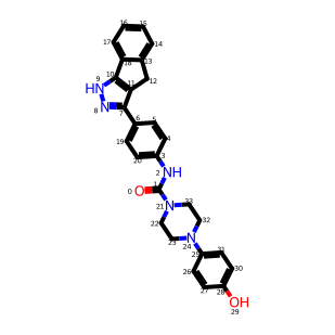 O=C(Nc1ccc(-c2n[nH]c3c2Cc2ccccc2-3)cc1)N1CCN(c2ccc(O)cc2)CC1